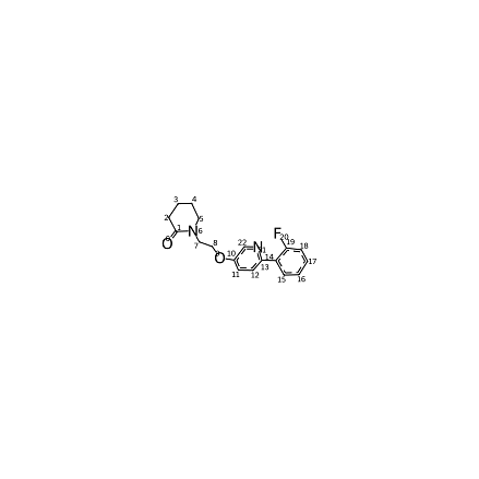 O=C1CCCCN1CCOc1ccc(-c2ccccc2F)nc1